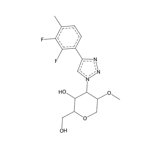 COC1COC(CO)C(O)C1n1cc(-c2ccc(C)c(F)c2F)nn1